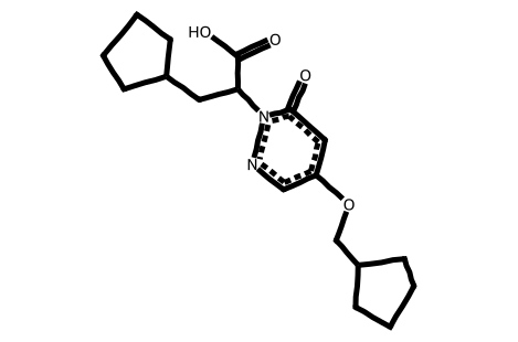 O=C(O)C(CC1CCCC1)n1ncc(OCC2CCCC2)cc1=O